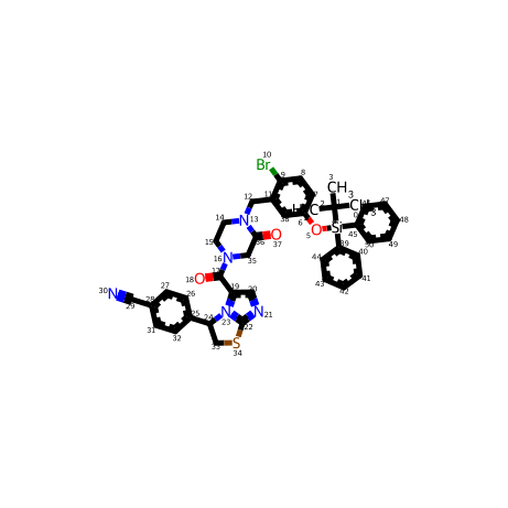 CC(C)(C)[Si](Oc1ccc(Br)c(CN2CCN(C(=O)c3cnc4n3C(c3ccc(C#N)cc3)CS4)CC2=O)c1)(c1ccccc1)c1ccccc1